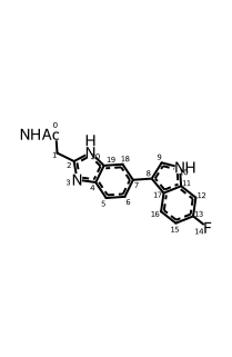 CC(=O)NCc1nc2ccc(-c3c[nH]c4cc(F)ccc34)cc2[nH]1